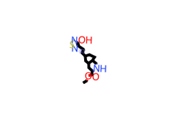 CCOC(=O)C1CC2CC(/C=C/c3nsnc3O)CCC2CN1